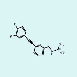 CC(C)[C@@H](C)NCc1cccc(C#Cc2ccc(F)c(F)c2)n1